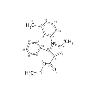 CCOC(=O)c1cc(C)n(-c2cccc(C)c2)c1-c1ccccc1